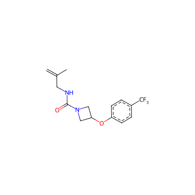 C=C(C)CNC(=O)N1CC(Oc2ccc(C(F)(F)F)cc2)C1